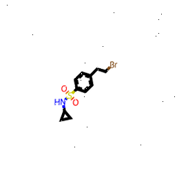 O=S(=O)(NC1CC1)c1ccc(CCBr)cc1